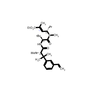 C=Cc1cccc(C(C)(C)[C@H](NC)C(=O)N[C@H](C(=O)N(C)[C@H](/C=C(\C)C(=O)OCC)C(C)C)C(C)(C)C)c1